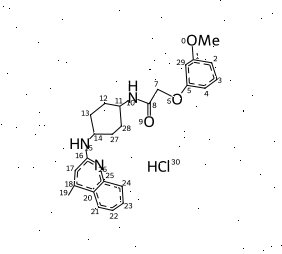 COc1cccc(OCC(=O)NC2CCC(Nc3cc(C)c4ccccc4n3)CC2)c1.Cl